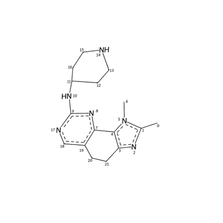 Cc1nc2c(n1C)-c1nc(NC3CCNCC3)ncc1CC2